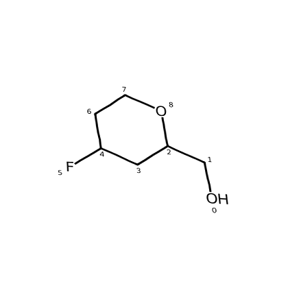 OCC1CC(F)CCO1